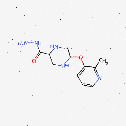 Cc1ncccc1OC1CNC(C(=O)NN)CN1